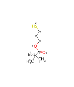 CCC(C)(C)C(=O)OCCCS